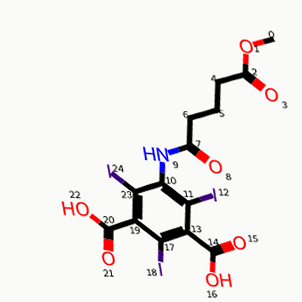 COC(=O)CCCC(=O)Nc1c(I)c(C(=O)O)c(I)c(C(=O)O)c1I